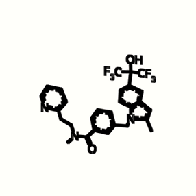 Cc1cc2cc(C(O)(C(F)(F)F)C(F)(F)F)ccc2n1Cc1cccc(C(=O)N(C)CCc2ccccn2)c1